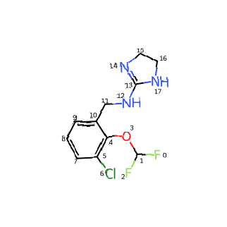 FC(F)Oc1c(Cl)cccc1CNC1=NCCN1